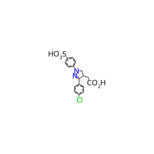 O=C(O)CC1CN(c2ccc(S(=O)(=O)O)cc2)N=C1c1ccc(Cl)cc1